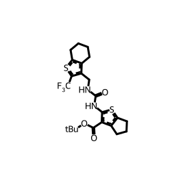 CC(C)(C)OC(=O)c1c(NC(=O)NCc2c(C(F)(F)F)sc3c2CCCC3)sc2c1CCC2